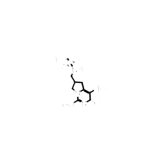 C[C@@H]1N=C(C(C)(C)C)N2CC(CNS(C)(=O)=O)CC2=C1C(C)(C)C